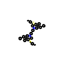 C=Cc1ccc(CSc2ccc(C3(c4ccccc4)c4cc(-c5ccccc5)ccc4-c4ccc(N(c5ccccc5)c5ccc(-c6ccc(N(c7ccccc7)c7ccc8c(c7)C(C7=CCC(SCc9ccc(C=C)cc9)C=C7)(c7ccccc7)c7cc(-c9ccccc9)ccc7-8)cc6)cc5)cc43)cc2)cc1